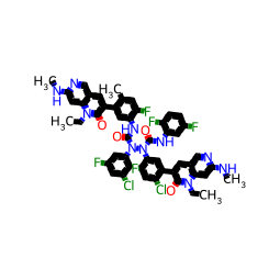 CCn1c(=O)c(-c2cc(NC(=O)N(c3cc(F)cc(Cl)c3)N(C(=O)Nc3cc(F)ccc3F)c3cc(-c4cc5cnc(NC)cc5n(CC)c4=O)c(Cl)cc3F)c(F)cc2C)cc2cnc(NC)cc21